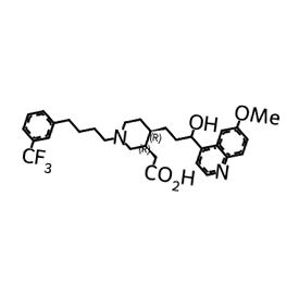 COc1ccc2nccc(C(O)CC[C@@H]3CCN(CCCCc4cccc(C(F)(F)F)c4)C[C@@H]3CC(=O)O)c2c1